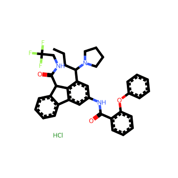 CCCC(c1cc(NC(=O)c2ccccc2Oc2ccccc2)cc2c1C(C(=O)NCC(F)(F)F)c1ccccc1-2)N1CCCC1.Cl